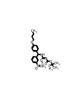 CCCCOc1ccc(C(N/C(=N/C(=O)OC(C)(C)C)OC)c2cccc([N+](=O)[O-])c2)cc1